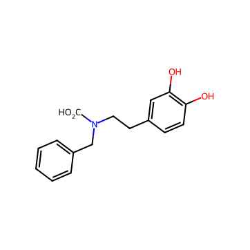 O=C(O)N(CCc1ccc(O)c(O)c1)Cc1ccccc1